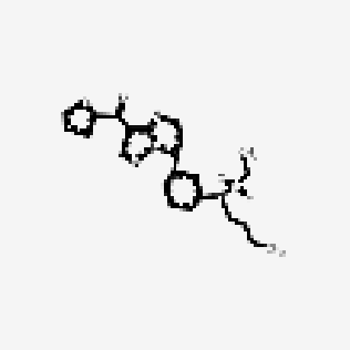 CCCCN(c1cccc(-c2ccnc3c(C(=O)c4cccs4)cnn23)c1)S(=O)(=O)CC